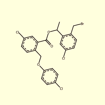 CC(OC(=O)c1cc(Cl)ccc1COc1ccc(Cl)cc1)c1cc(Cl)ccc1CBr